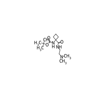 CN(C)CCNC(=O)C1(NC(=O)OC(C)(C)C)CCC1